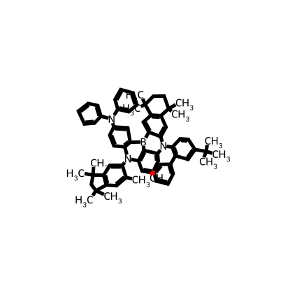 Cc1cc2c3c(c1)N(c1ccc(C(C)(C)C)cc1-c1ccccc1)c1cc4c(cc1B3c1cc(N(c3ccccc3)c3ccccc3)ccc1N2c1cc2c(cc1C)C(C)(C)CC2(C)C)C(C)(C)CCC4(C)C